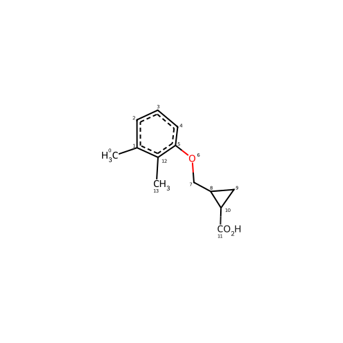 Cc1cccc(OCC2CC2C(=O)O)c1C